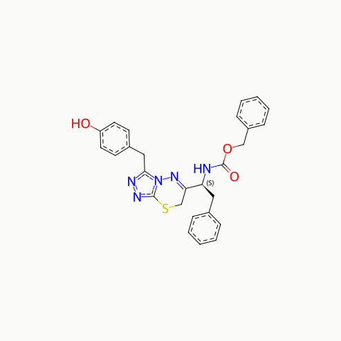 O=C(N[C@@H](Cc1ccccc1)C1=Nn2c(Cc3ccc(O)cc3)nnc2SC1)OCc1ccccc1